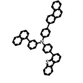 c1cc(-c2cccc3ccccc23)cc(N(c2ccc(-c3ccc4c(ccc5ccccc54)c3)cc2)c2ccc(-c3cccc4c3sc3ccccc34)cc2)c1